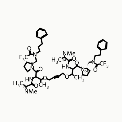 CN[C@@H](C)C(=O)NC(C(=O)N1CCC[C@H]1CN(CCCc1ccccc1)C(=O)C(F)(F)F)C(C)OCC#CCOC(C)C(NC(=O)[C@H](C)NC)C(=O)N1CCC[C@H]1CN(CCc1ccccc1)C(=O)C(F)(F)F